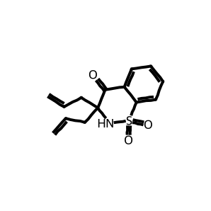 C=CCC1(CC=C)NS(=O)(=O)c2ccccc2C1=O